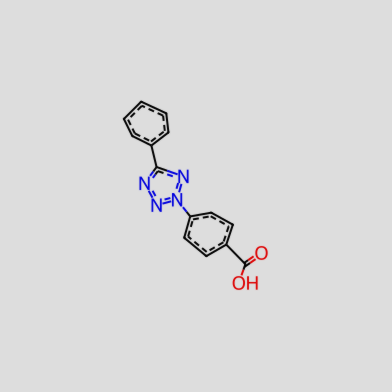 O=C(O)c1ccc(-n2nnc(-c3ccccc3)n2)cc1